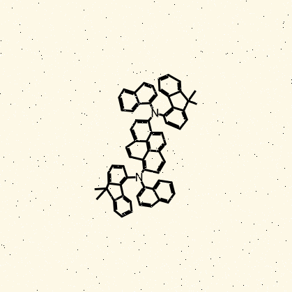 CC1(C)c2ccccc2-c2c(N(c3cccc4ccccc34)c3ccc4ccc5c(N(c6cccc7c6-c6ccccc6C7(C)C)c6cccc7ccccc67)ccc6ccc3c4c65)cccc21